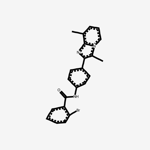 Cc1cccn2c(C)c(-c3ccc(NC(=O)c4ccccc4Br)cc3)nc12